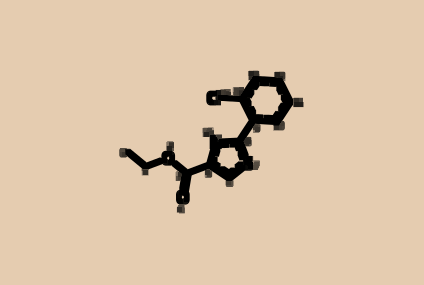 CCOC(=O)c1csc(-c2ccccc2Cl)n1